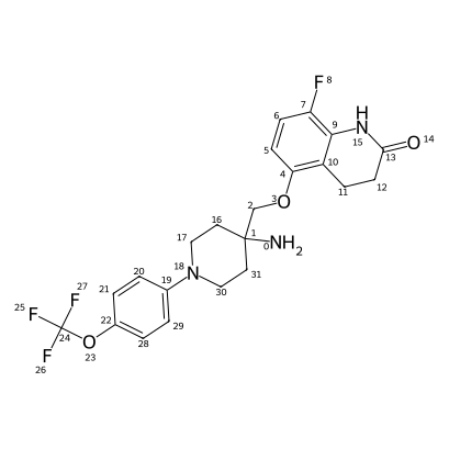 NC1(COc2ccc(F)c3c2CCC(=O)N3)CCN(c2ccc(OC(F)(F)F)cc2)CC1